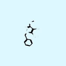 COc1nn(Cc2ccccc2)c(N)c1N